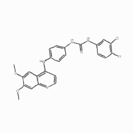 COc1cc2nccc(Nc3ccc(NC(=O)Nc4ccc(Cl)c(Cl)c4)cc3)c2cc1OC